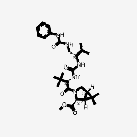 COC(=O)[C@@H]1[C@@H]2[C@H](CN1C(=O)[C@@H](NC(=O)N[C@H](CNC(=O)Nc1ccccc1)C(C)C)C(C)(C)C)C2(C)C